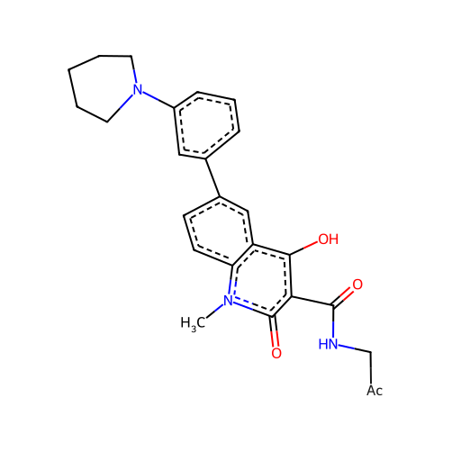 CC(=O)CNC(=O)c1c(O)c2cc(-c3cccc(N4CCCCC4)c3)ccc2n(C)c1=O